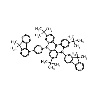 CC(C)(C)c1ccc2c(c1)N(c1ccc(-c3cccc4c3-c3ccccc3C4(C)C)cc1)c1cc(C(C)(C)C)cc3c1B2c1ccc(C(C)(C)C)cc1N3c1ccc2c(c1)C(C)(C)c1ccccc1-2